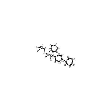 C[Si](C)(C)CC[Si](C)(C)[Si](C)(c1ccccc1)c1ccc(-c2ccccc2)cc1